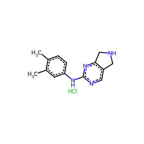 Cc1ccc(Nc2ncc3c(n2)CNC3)cc1C.Cl